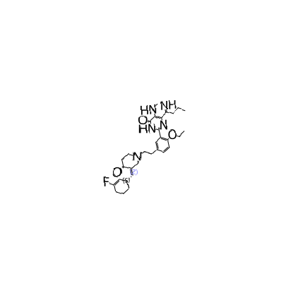 CCCC(=N)c1nc(-c2cc(CCN3CCC(=O)/C(=C\[C@H]4C=C(F)CCC4)C3)ccc2OCC)[nH]c(=O)c1NC